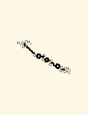 C=C(C)C(=O)OCCCCCCOc1ccc(C(=O)Oc2ccc(OC(=O)CCc3ccc(OC(=O)C(=C)C)cc3)cc2)cc1